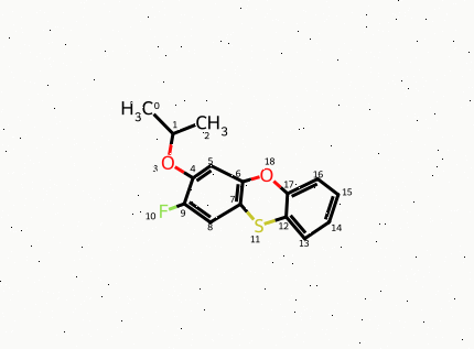 CC(C)Oc1cc2c(cc1F)Sc1ccccc1O2